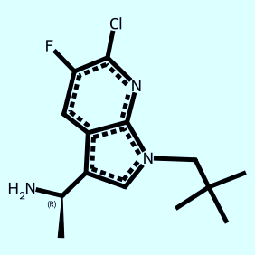 C[C@@H](N)c1cn(CC(C)(C)C)c2nc(Cl)c(F)cc12